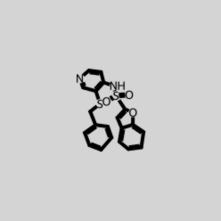 O=S(=O)(Nc1ccncc1SCc1ccccc1)c1cc2ccccc2o1